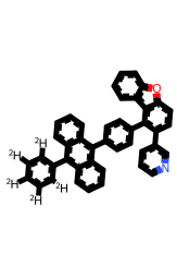 [2H]c1c([2H])c([2H])c(-c2c3ccccc3c(-c3ccc(-c4c(-c5cccnc5)ccc5oc6ccccc6c45)cc3)c3ccccc23)c([2H])c1[2H]